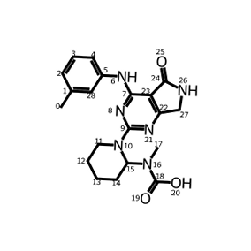 Cc1cccc(Nc2nc(N3CCCCC3N(C)C(=O)O)nc3c2C(=O)NC3)c1